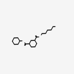 CCCCCCOC(=O)C1CCCC(C(=O)OC2CCCCC2)C1